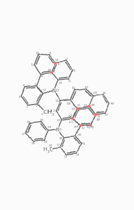 Cc1cccc(-c2ccccc2)c1N(c1ccccc1)c1cc(N(c2ccccc2)c2c(C)cccc2-c2ccccc2)c2ccc3cccc4ccc1c2c43